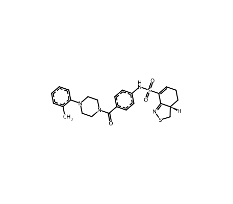 Cc1ccccc1N1CCN(C(=O)c2ccc(NS(=O)(=O)C3=CCC[C@@H]4CSN=C34)cc2)CC1